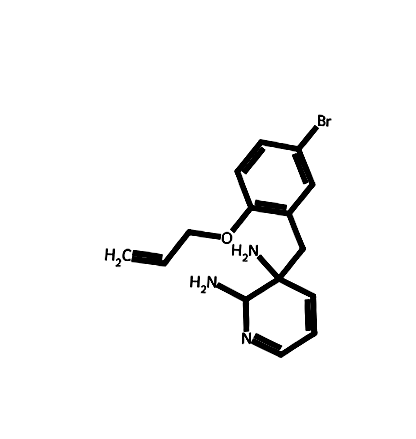 C=CCOc1ccc(Br)cc1CC1(N)C=CC=NC1N